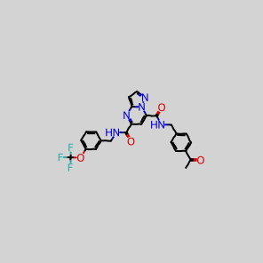 CC(=O)c1ccc(CNC(=O)c2cc(C(=O)NCc3cccc(OC(F)(F)F)c3)nc3ccnn23)cc1